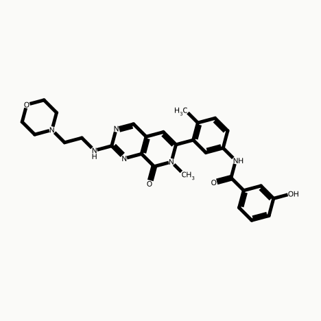 Cc1ccc(NC(=O)c2cccc(O)c2)cc1-c1cc2cnc(NCCN3CCOCC3)nc2c(=O)n1C